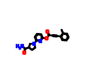 Cc1ccccc1C#CC(=O)Oc1cccc(N2CCC(C(N)=O)C2)n1